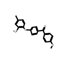 Bc1cc(C)ccc1Oc1ccc(C(=O)c2ccc(OC)cc2)cc1